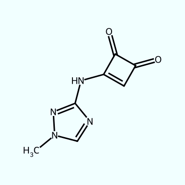 Cn1cnc(Nc2cc(=O)c2=O)n1